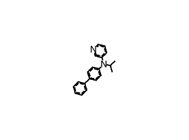 CC(C)N(c1ccc(-c2ccccc2)cc1)c1cccnc1